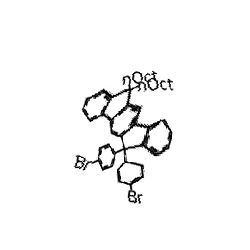 CCCCCCCCC1(CCCCCCCC)c2ccccc2-c2cc3c(cc21)-c1ccccc1C3(c1ccc(Br)cc1)C1C=CC(Br)=CC1